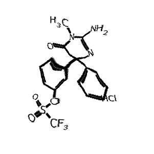 CN1C(=O)C(c2ccccc2)(c2cccc(OS(=O)(=O)C(F)(F)F)c2)N=C1N.Cl